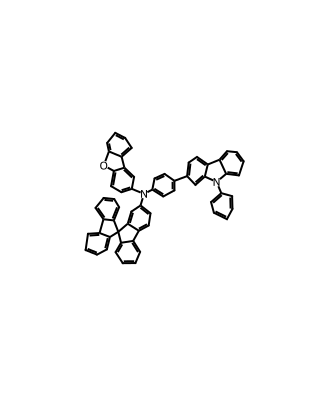 c1ccc(-n2c3ccccc3c3ccc(-c4ccc(N(c5ccc6c(c5)C5(c7ccccc7-c7ccccc75)c5ccccc5-6)c5ccc6oc7ccccc7c6c5)cc4)cc32)cc1